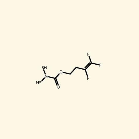 O=C(OCCC(F)=C(F)F)N(S)S